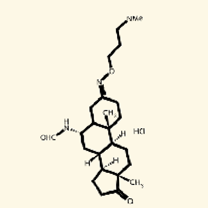 CNCCCON=C1CC[C@@]2(C)C(C1)[C@@H](NC=O)C[C@@H]1[C@@H]2CC[C@]2(C)C(=O)CC[C@@H]12.Cl